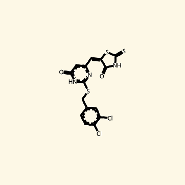 O=C1NC(=S)SC1=Cc1cc(=O)[nH]c(SCc2ccc(Cl)c(Cl)c2)n1